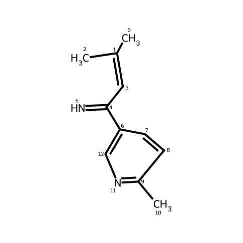 CC(C)=CC(=N)c1ccc(C)nc1